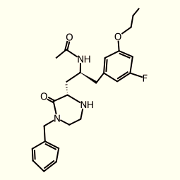 CCCOc1cc(F)cc(C[C@@H](C[C@@H]2NCCN(Cc3ccccc3)C2=O)NC(C)=O)c1